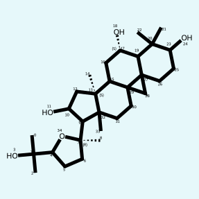 CC(C)(O)C1CC[C@](C)(C2C(O)C[C@@]3(C)C4C[C@H](O)C5C(C)(C)C(O)CCC56CC46CCC23C)O1